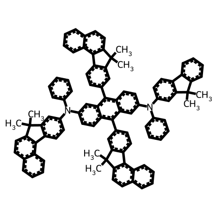 CC1(C)c2ccccc2-c2ccc(N(c3ccccc3)c3ccc4c(-c5ccc6c(c5)C(C)(C)c5ccc7ccccc7c5-6)c5cc(N(c6ccccc6)c6ccc7c(c6)C(C)(C)c6ccc8ccccc8c6-7)ccc5c(-c5ccc6c(c5)C(C)(C)c5ccc7ccccc7c5-6)c4c3)cc21